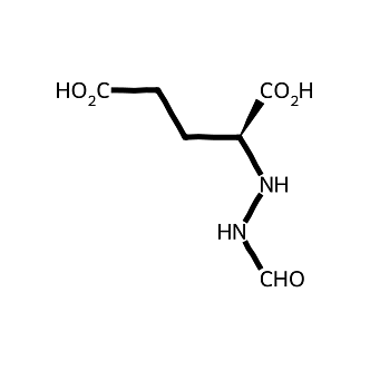 O=CNN[C@@H](CCC(=O)O)C(=O)O